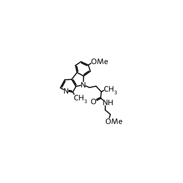 COCCNC(=O)C(C)CCn1c2cc(OC)ccc2c2ccnc(C)c21